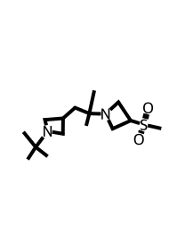 CC(C)(C)N1CC(CC(C)(C)N2CC(S(C)(=O)=O)C2)C1